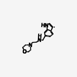 [c]1c[nH]c2cc(CNCCN3CCOCC3)ccc12